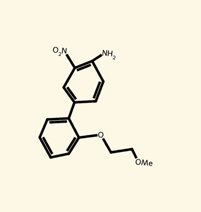 COCCOc1ccccc1-c1ccc(N)c([N+](=O)[O-])c1